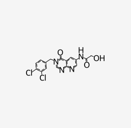 O=C(CO)Nc1cnc2ncn(Cc3ccc(Cl)c(Cl)c3)c(=O)c2c1